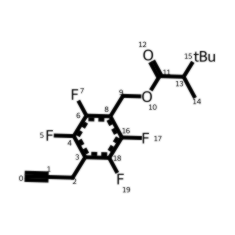 C#CCc1c(F)c(F)c(COC(=O)C(C)C(C)(C)C)c(F)c1F